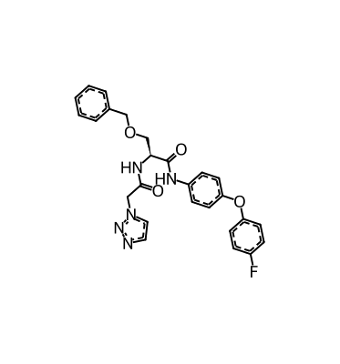 O=C(Cn1ccnn1)N[C@@H](COCc1ccccc1)C(=O)Nc1ccc(Oc2ccc(F)cc2)cc1